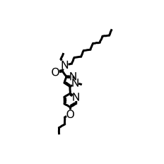 CCCCCCCCCCN(CC)C(=O)c1cc(-c2ccc(OCCCC)cn2)n(C)n1